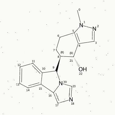 Cn1ncc2c1CC[C@H](C1c3ccccc3-c3cncn31)[C@H]2O